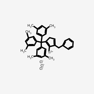 Cc1cc(C)cc(C(C2=[C]([Ti+3])C(Cc3ccccc3)=CC2)(c2cc(C)cc(C)c2)c2cc(C)cc(C)c2)c1.[Cl-].[Cl-].[Cl-]